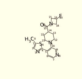 Cc1cnc(-c2ccncc2N2CCC(C(=O)N3CC(F)C3)CC2)s1